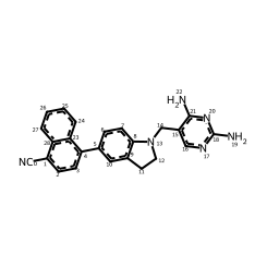 N#Cc1ccc(-c2ccc3c(c2)CCN3Cc2cnc(N)nc2N)c2ccccc12